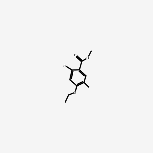 CCSc1cc(Cl)c(C(=O)OC)cc1C